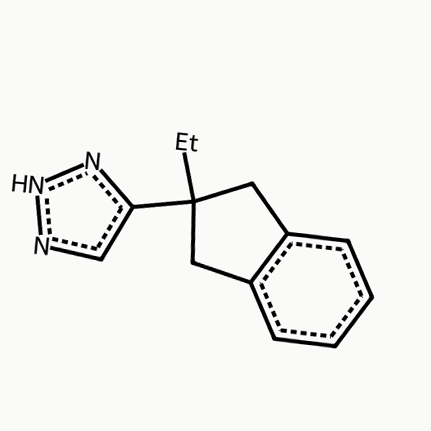 CCC1(c2cn[nH]n2)Cc2ccccc2C1